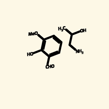 CC(O)CN.COc1cccc(C=O)c1O